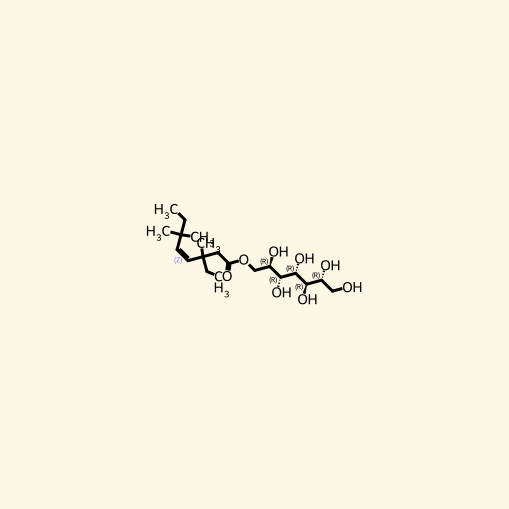 CCC(C)(C)/C=C\C(C)(CC)CC(=O)OC[C@@H](O)[C@@H](O)[C@H](O)[C@H](O)[C@H](O)CO